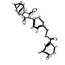 Cc1cc(C(=O)CCc2ccc(N3C(=O)C4C5C=CC(C6CC56)C4C3=O)cc2)ccc1Cl